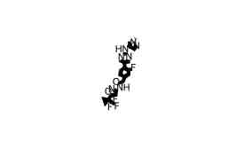 Cn1cc(Nc2ncc(-c3ccc(CC(=O)Nc4cc(C5(C(F)(F)F)CC5)on4)cc3F)cn2)cn1